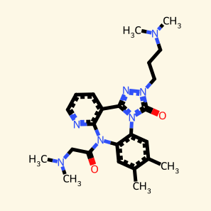 Cc1cc2c(cc1C)-n1c(nn(CCCN(C)C)c1=O)-c1cccnc1N2C(=O)CN(C)C